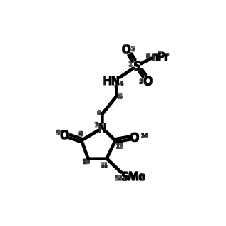 CCCS(=O)(=O)NCCN1C(=O)CC(SC)C1=O